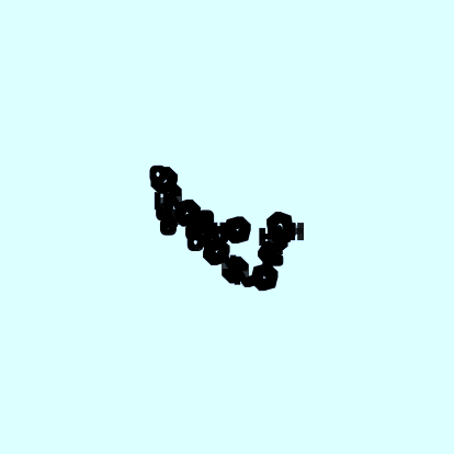 O=C(NS(=O)(=O)c1ccc(NCC2CCOCC2)c([N+](=O)[O-])c1)c1ccc(N2CCN(Cc3cccc(-c4ccc(CN5[C@@H]6CCC[C@H]5CC6)s4)c3)CC2)cc1Oc1ccccc1